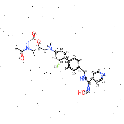 CC(=O)NC[C@@H](CN(C)c1ccc(-c2ccc(CN/C(=N\O)c3ccncc3)cc2)c(F)c1)OC=O